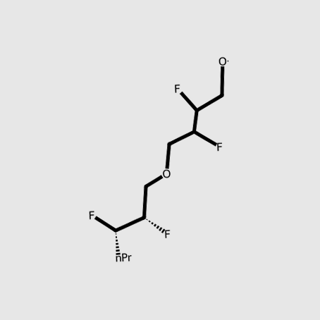 CCC[C@H](F)[C@@H](F)COCC(F)C(F)C[O]